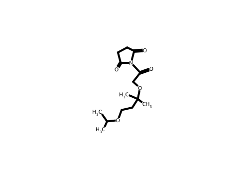 CC(C)OCCC(C)(C)OCC(=O)N1C(=O)CCC1=O